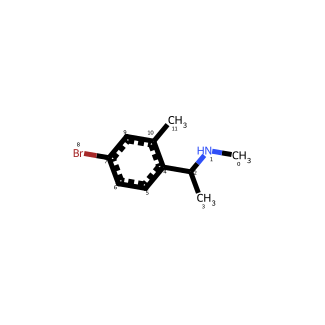 CNC(C)c1ccc(Br)cc1C